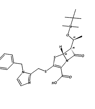 C[C@H](O[Si](C)(C)C(C)(C)C)[C@@H]1C(=O)N2C(C(=O)O)=C(SCc3nccn3Cc3ccccc3)S[C@H]12